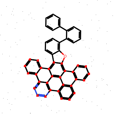 c1ccc(-c2ccccc2-c2c(-c3ccccc3-c3ccccc3)c(-c3ccccc3-c3nnnc(-c4ccccc4)c3-c3ccccc3)c3c(oc4c(-c5ccccc5-c5ccccc5)cccc43)c2-c2ccccc2)cc1